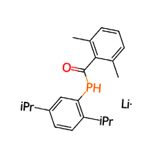 Cc1cccc(C)c1C(=O)Pc1cc(C(C)C)ccc1C(C)C.[Li]